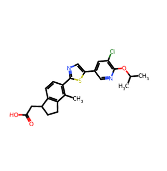 Cc1c(-c2ncc(-c3cnc(OC(C)C)c(Cl)c3)s2)ccc2c1CCC2CC(=O)O